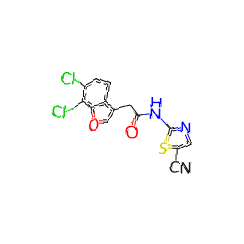 N#Cc1cnc(NC(=O)Cc2coc3c(Cl)c(Cl)ccc23)s1